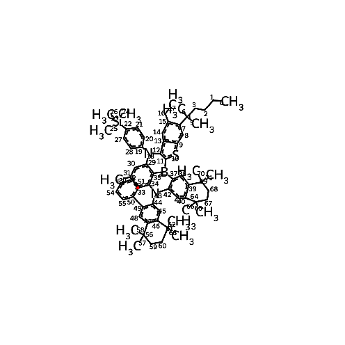 CCCCC(C)(C)c1cc2sc3c(c2cc1CC)N(c1ccc([Si](C)(C)C)cc1)c1cc(C)cc2c1B3c1cc3c(cc1N2c1cc2c(cc1-c1ccccc1)C(C)(C)CCC2(C)C)C(C)(C)CCC3(C)C